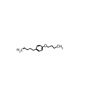 C=CCCCc1ccc(OCCCC)cc1